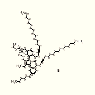 CCCCCCCCCCCCCCC#CCCc1ccc(CCCCCC)cc1C1=C(CC)C(CCCC)=C(c2cc(CCCCCC)ccc2CCC#CCCCCCCCCCCCCCC)[N+]1=[N-].[Ni]